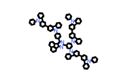 c1ccc(-n2c3ccccc3c3cc(-c4ccc5c(c4)c4ccccc4n5-c4ccc(-c5nc(-c6cc(-n7c8ccccc8c8cc(-c9ccc%10c(c9)c9ccccc9n%10-c9ccccc9)ccc87)cc(-n7c8ccccc8c8cc(-c9ccc%10c(c9)c9ccccc9n%10-c9ccccc9)ccc87)c6)nc6c5-c5cccc7cccc-6c57)cc4)ccc32)cc1